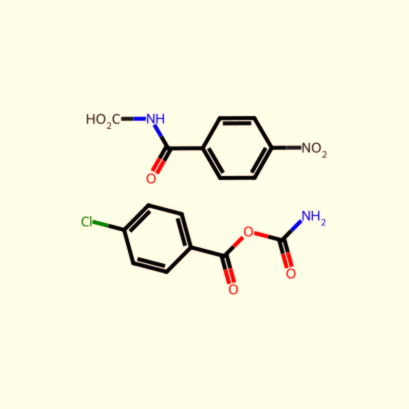 NC(=O)OC(=O)c1ccc(Cl)cc1.O=C(O)NC(=O)c1ccc([N+](=O)[O-])cc1